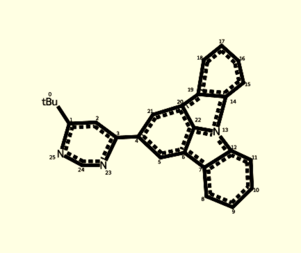 CC(C)(C)c1cc(-c2cc3c4ccccc4n4c5ccccc5c(c2)c34)ncn1